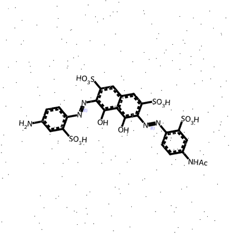 CC(=O)Nc1ccc(/N=N/c2c(S(=O)(=O)O)cc3cc(S(=O)(=O)O)c(/N=N/c4ccc(N)cc4S(=O)(=O)O)c(O)c3c2O)c(S(=O)(=O)O)c1